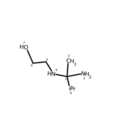 CC(C)C(C)(N)NCCO